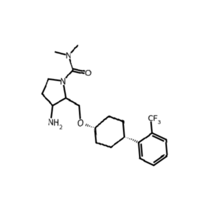 CN(C)C(=O)N1CCC(N)C1CO[C@H]1CC[C@@H](c2ccccc2C(F)(F)F)CC1